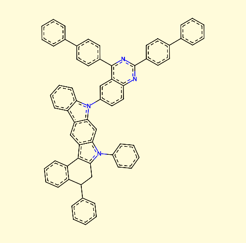 c1ccc(-c2ccc(-c3nc(-c4ccc(-c5ccccc5)cc4)c4cc(-n5c6ccccc6c6cc7c8c(n(-c9ccccc9)c7cc65)CC(c5ccccc5)c5ccccc5-8)ccc4n3)cc2)cc1